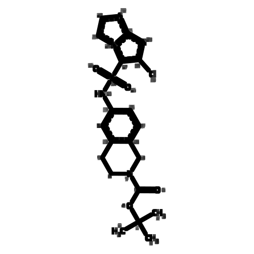 CC(C)(C)OC(=O)N1CCc2cc(NS(=O)(=O)c3c(Cl)nc4sccn34)ccc2C1